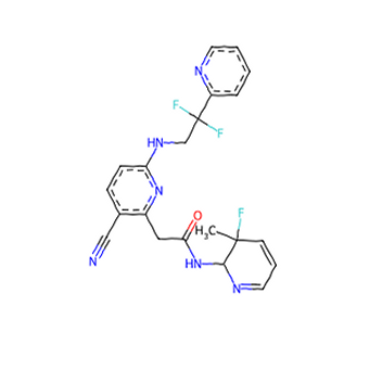 CC1(F)C=CC=NC1NC(=O)Cc1nc(NCC(F)(F)c2ccccn2)ccc1C#N